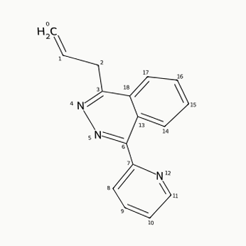 C=CCc1nnc(-c2ccccn2)c2ccccc12